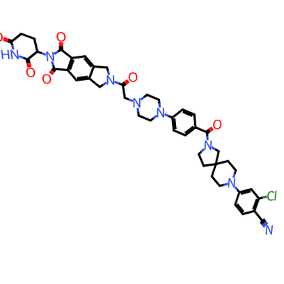 N#Cc1ccc(N2CCC3(CCN(C(=O)c4ccc(N5CCN(CC(=O)N6Cc7cc8c(cc7C6)C(=O)N(C6CCC(=O)NC6=O)C8=O)CC5)cc4)C3)CC2)cc1Cl